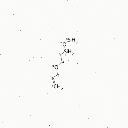 C=CCOCC[SiH2]O[SiH3]